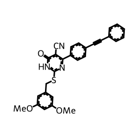 COc1cc(CSc2nc(-c3ccc(C#Cc4ccccc4)cc3)c(C#N)c(=O)[nH]2)cc(OC)c1